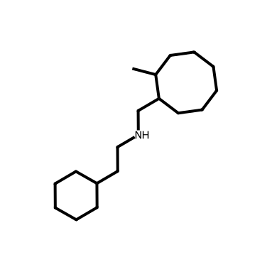 CC1CCCCCCC1CNCCC1CCCCC1